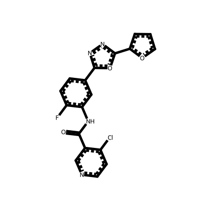 O=C(Nc1cc(-c2nnc(-c3ccco3)o2)ccc1F)c1cnccc1Cl